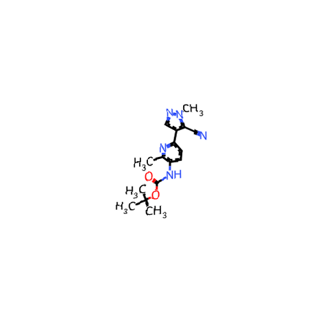 Cc1nc(-c2cnn(C)c2C#N)ccc1NC(=O)OC(C)(C)C